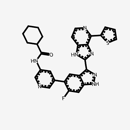 O=C(Nc1cncc(-c2cc3c(-c4nc5c(-c6cccs6)nccc5[nH]4)n[nH]c3cc2F)c1)C1CCCCC1